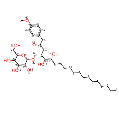 CCCCCCCCCCCCCC[C@@H](O)[C@@H](O)[C@H](COC1OC(CO)C(O)C(O)C1O)CC(=O)Cc1ccc(OC)cc1